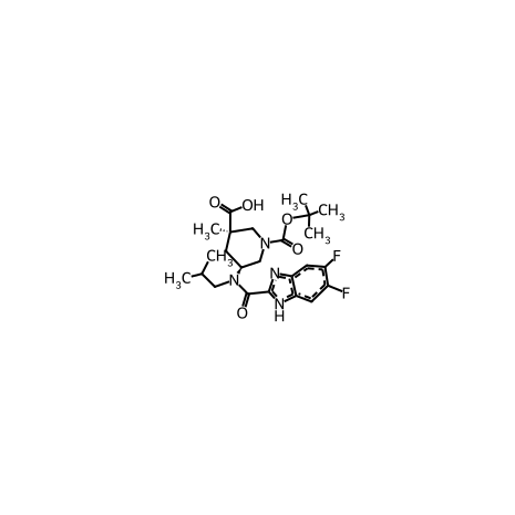 CC(C)CN(C(=O)c1nc2cc(F)c(F)cc2[nH]1)[C@@H]1CN(C(=O)OC(C)(C)C)C[C@](C)(C(=O)O)C1